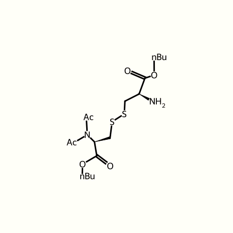 CCCCOC(=O)[C@@H](N)CSSC[C@@H](C(=O)OCCCC)N(C(C)=O)C(C)=O